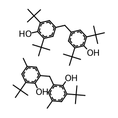 CC(C)(C)c1cc(Cc2cc(C(C)(C)C)c(O)c(C(C)(C)C)c2)cc(C(C)(C)C)c1O.Cc1cc(Cc2cc(C)cc(C(C)(C)C)c2O)c(O)c(C(C)(C)C)c1